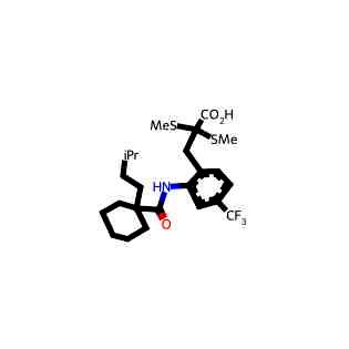 CSC(Cc1ccc(C(F)(F)F)cc1NC(=O)C1(CCC(C)C)CCCCC1)(SC)C(=O)O